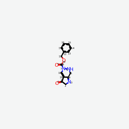 O=C1CN=C2CNN(C(=O)OCc3ccccc3)C=C12